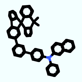 CC1(C)c2ccccc2C2(c3ccccc3-c3ccc(-c4cccc(-c5ccc(N(c6ccccc6)c6ccc7ccccc7c6)cc5)c4)cc32)c2ccccc21